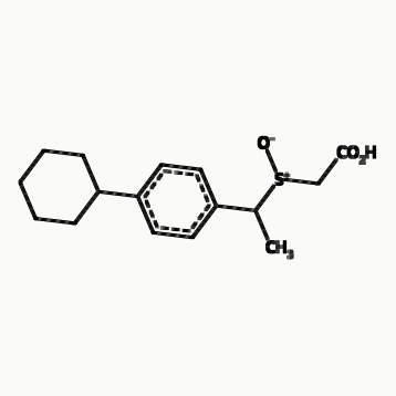 CC(c1ccc(C2CCCCC2)cc1)[S+]([O-])CC(=O)O